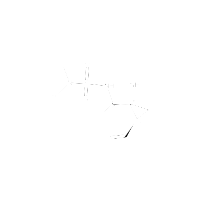 C=C[C@@H]1C[C@]1(N)C(=O)NS(=O)(=O)N(C)CC